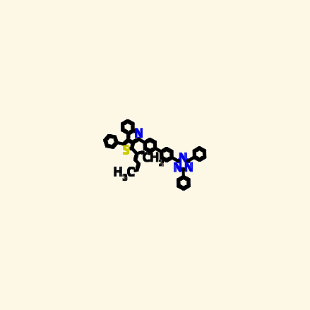 C=C/C(=C\C=C/C)c1sc(-c2ccccc2)c2c1c(-c1ccc(-c3ccc(-c4nc(-c5ccccc5)nc(-c5ccccc5)n4)cc3)cc1)nc1ccccc12